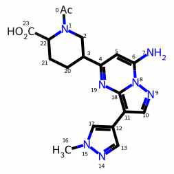 CC(=O)N1CC(c2cc(N)n3ncc(-c4cnn(C)c4)c3n2)CCC1C(=O)O